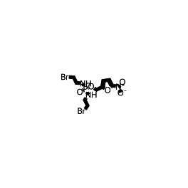 O=[N+]([O-])c1ccc(COP(=O)(NCCBr)NCCBr)o1